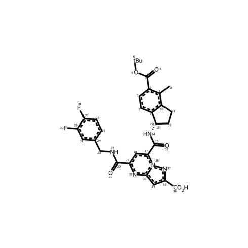 Cc1c(C(=O)OC(C)(C)C)ccc2c1CC[C@@H]2NC(=O)c1cc(C(=O)NCc2ccc(F)c(F)c2)nc2cc(C(=O)O)nn12